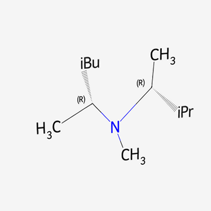 CCC(C)[C@@H](C)N(C)[C@H](C)C(C)C